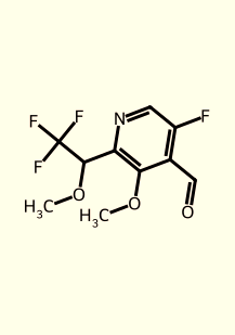 COc1c(C(OC)C(F)(F)F)ncc(F)c1C=O